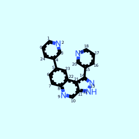 c1cncc(-c2ccc3ncc4[nH]nc(-c5cccnc5)c4c3c2)c1